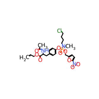 C=CCOC(=O)C(Cc1ccc(OP(=O)(OCc2ccc([N+](=O)[O-])o2)N(C)CCCCCl)cc1)NC(C)=O